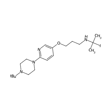 CC(C)(I)NCCCOc1ccc(N2CCN(C(C)(C)C)CC2)nc1